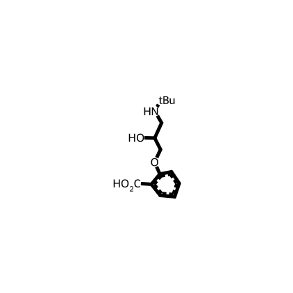 CC(C)(C)NCC(O)COc1ccccc1C(=O)O